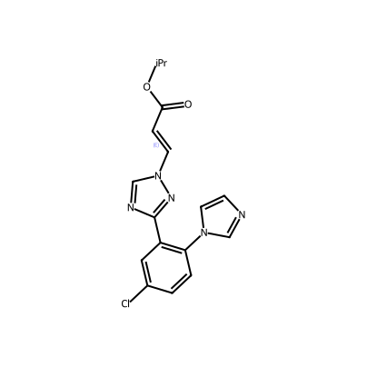 CC(C)OC(=O)/C=C/n1cnc(-c2cc(Cl)ccc2-n2ccnc2)n1